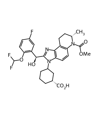 COC(=O)N1c2ccc3c(nc([C@@H](O)c4cc(F)ccc4OC(F)F)n3C3CCC[C@@H](C(=O)O)C3)c2CC[C@@H]1C